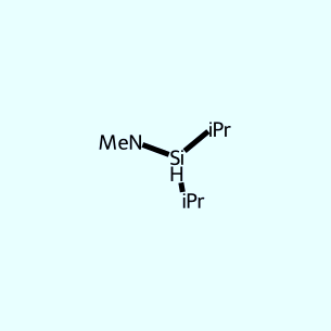 CN[SiH](C(C)C)C(C)C